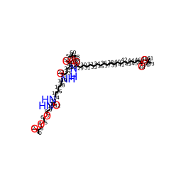 CC(=O)COCCOCCNC(=O)NCCCCCCNC(=O)CC[C@H](NC(=O)CCCCCCCCCCCCCCCCCCC(=O)OC(C)(C)C)C(=O)OC(C)(C)C